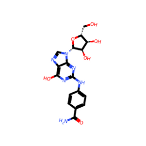 NC(=O)c1ccc(Nc2nc(O)c3ncn([C@@H]4O[C@H](CO)[C@@H](O)[C@H]4O)c3n2)cc1